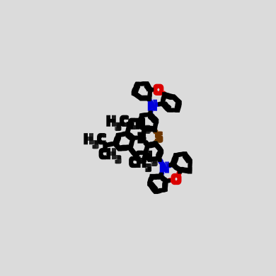 CC(C)c1cc(C(C)C)c(B2c3ccc(N4c5ccccc5Oc5ccccc54)cc3Sc3cc(N4c5ccccc5Oc5ccccc54)ccc32)c(C(C)C)c1